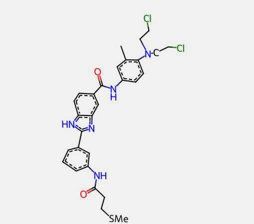 CSCCC(=O)Nc1cccc(-c2nc3cc(C(=O)Nc4ccc(N(CCCl)CCCl)c(C)c4)ccc3[nH]2)c1